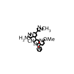 COc1ccc(CN2C3CC2CN(c2ccc(-c4cc(-c5cnn(C)c5)cn5nc(N)c(C#N)c45)cn2)C3)cn1